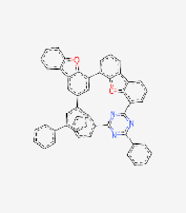 c1ccc(-c2cccc(-c3cc(-c4cccc5c4oc4c(-c6nc(-c7ccccc7)nc(-c7ccccc7)n6)cccc45)c4oc5ccccc5c4c3)c2)cc1